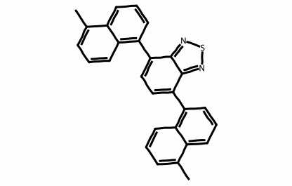 Cc1cccc2c(-c3ccc(-c4cccc5c(C)cccc45)c4nsnc34)cccc12